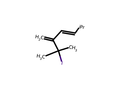 C=C(/C=C/C(C)C)C(C)(C)I